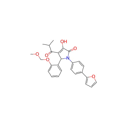 COCOc1ccccc1C1C(C(=O)C(C)C)=C(O)C(=O)N1c1ccc(-c2ccco2)cc1